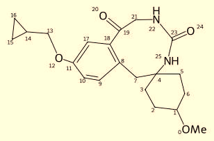 COC1CCC2(CC1)Cc1ccc(OCC3CC3)cc1C(=O)CNC(=O)N2